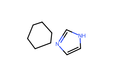 C1CCCCC1.c1c[nH]cn1